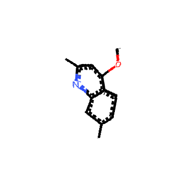 [CH2]Oc1cc(C)nc2cc(C)ccc12